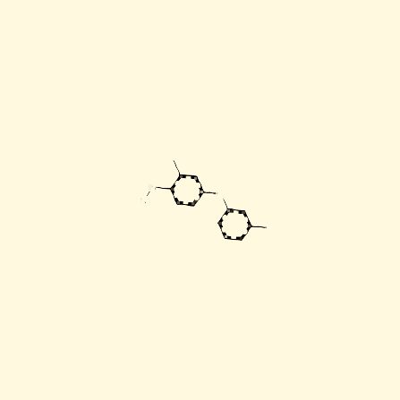 Cc1cc(Oc2cccc(F)c2)ccc1NN